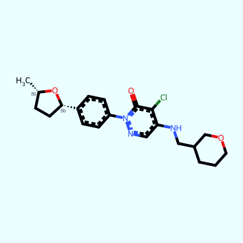 C[C@H]1CC[C@@H](c2ccc(-n3ncc(NCC4CCCOC4)c(Cl)c3=O)cc2)O1